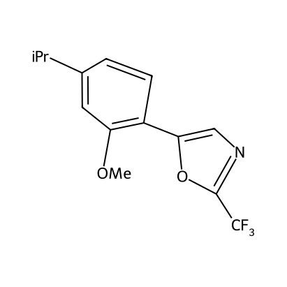 COc1cc(C(C)C)ccc1-c1cnc(C(F)(F)F)o1